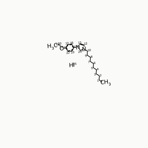 CCCCCCCCCCCN1C=CN(c2ccc(OCC)cc2)C1.I